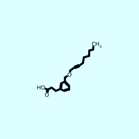 CCCCCCC#CCOCc1cccc(CCC(=O)O)c1